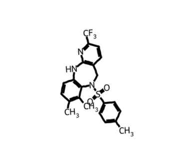 Cc1ccc(S(=O)(=O)N2Cc3ccc(C(F)(F)F)nc3Nc3ccc(C)c(C)c32)cc1